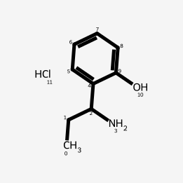 CCC(N)c1ccccc1O.Cl